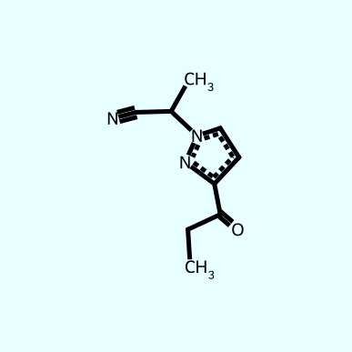 CCC(=O)c1ccn(C(C)C#N)n1